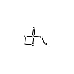 NOP1(=O)OCO1